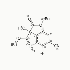 Cc1c(C(C)(C(=O)OC(C)(C)C)C(=O)OC(C)(C)C)ccc(C#N)c1F